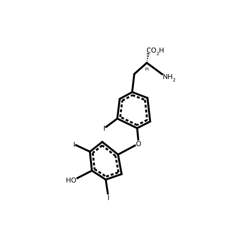 N[C@H](Cc1ccc(Oc2cc(I)c(O)c(I)c2)c(I)c1)C(=O)O